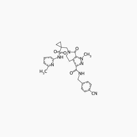 Cc1cccc(NS(=O)(=O)C2(CN3CCc4c(C(=O)NCc5ccc(C#N)cc5)nn(C)c4C3=O)CC2)n1